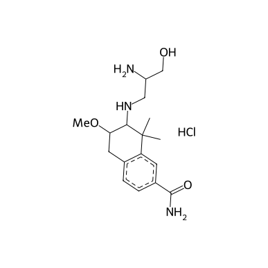 COC1Cc2ccc(C(N)=O)cc2C(C)(C)C1NCC(N)CO.Cl